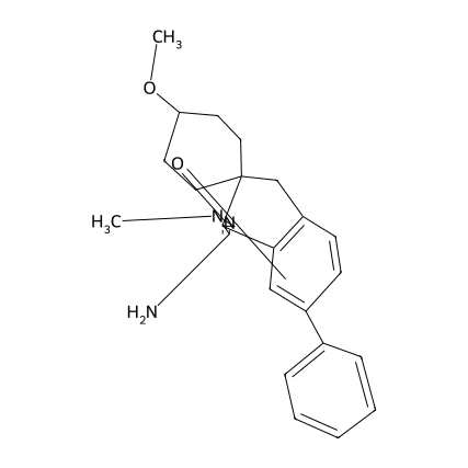 COC1CCC2(CC1)Cc1ccc(-c3ccccc3)cc1C21N=C(N)N(C)C1=O